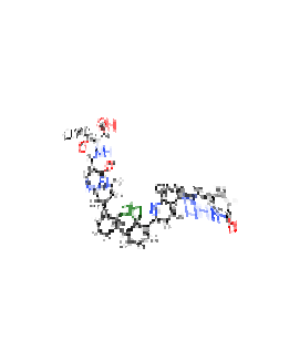 COC(=O)[C@H](CO)NCc1cnc2cc(-c3cccc(-c4cccc(-c5ccc(CNC[C@H]6CCC(=O)N6)c(OC)n5)c4Cl)c3Cl)ccn2c1=O